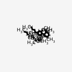 CCCCCc1cc2c(c(O[Si](C)(C)OC(C)[SiH2]OC(C)[Si](C)(C)CCCC)c1)[C@@H]1C=C(C)CC[C@H]1C(C)(C)O2